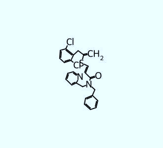 C=C(Cc1c(Cl)cccc1Cl)S/C=C/C(=O)N(Cc1ccccc1)Cc1ccccn1